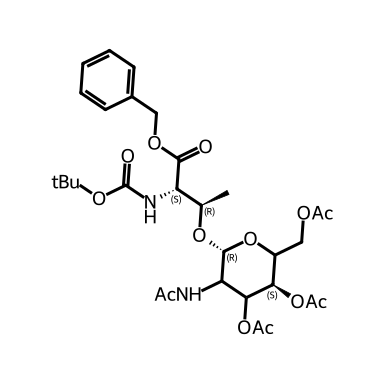 CC(=O)NC1C(OC(C)=O)[C@H](OC(C)=O)C(COC(C)=O)O[C@H]1O[C@H](C)[C@H](NC(=O)OC(C)(C)C)C(=O)OCc1ccccc1